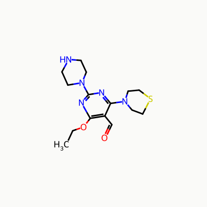 CCOc1nc(N2CCNCC2)nc(N2CCSCC2)c1C=O